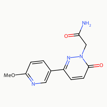 COc1ccc(-c2ccc(=O)n(CC(N)=O)n2)cn1